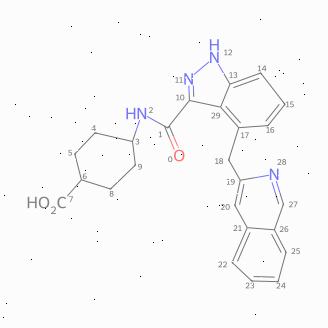 O=C(NC1CCC(C(=O)O)CC1)c1n[nH]c2cccc(Cc3cc4ccccc4cn3)c12